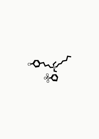 CCCCCCC[N+](CC)(CC)CCCCc1ccc(Cl)cc1.O=S(=O)([O-])c1ccccc1